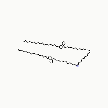 CCCCCCCC/C=C\CCCCCCCCCCCC(=O)OCCCCCCCCCCCCCCCC.CCCCCCCCCCCCCCCCCCOC(=O)CCCCCCCCCCCCC